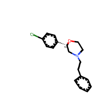 Clc1ccc([C@H]2CN(CCc3ccccc3)CCO2)cc1